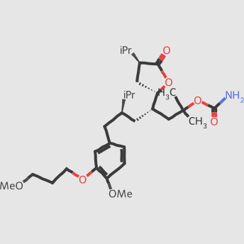 COCCCOc1cc(C[C@H](C[C@@H](CC(C)(C)OC(N)=O)[C@@H]2C[C@@H](C(C)C)C(=O)O2)C(C)C)ccc1OC